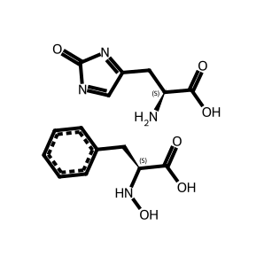 N[C@@H](CC1=NC(=O)N=C1)C(=O)O.O=C(O)[C@H](Cc1ccccc1)NO